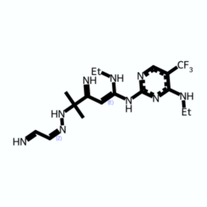 CCN/C(=C\C(=N)C(C)(C)N/N=C\C=N)Nc1ncc(C(F)(F)F)c(NCC)n1